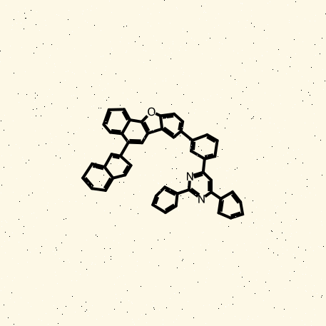 c1ccc(-c2cc(-c3cccc(-c4ccc5oc6c7ccccc7c(-c7ccc8ccccc8c7)cc6c5c4)c3)nc(-c3ccccc3)n2)cc1